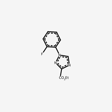 CCOC(=O)c1ncn(-c2ccccc2F)n1